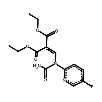 CCOC(=O)C(=CN(C(N)=O)c1ccc(F)cn1)C(=O)OCC